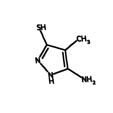 Cc1c(S)n[nH]c1N